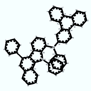 c1ccc(-c2cc3ccccc3c3c2c2cccc(N(c4ccccc4)c4ccc5c6ccccc6c6ccccc6c5c4)c2n3-c2ccccc2)cc1